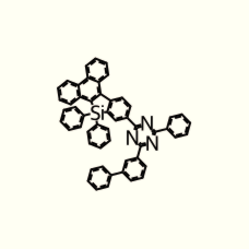 c1ccc(-c2cccc(-c3nc(-c4ccccc4)nc(-c4ccc5c(c4)[Si](c4ccccc4)(c4ccccc4)c4c-5c5ccccc5c5ccccc45)n3)c2)cc1